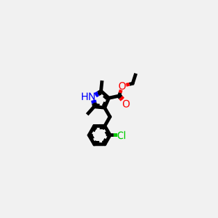 CCOC(=O)c1c(C)[nH]c(C)c1Cc1ccccc1Cl